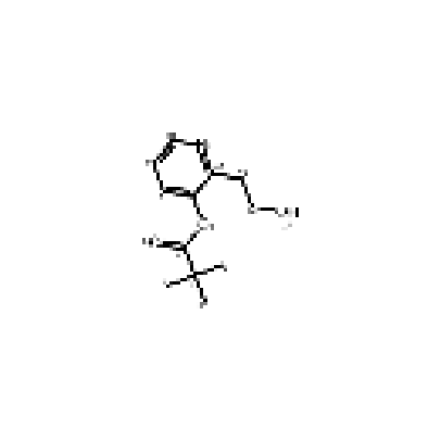 CC(C)(C)C(=O)Oc1cccnc1CCO